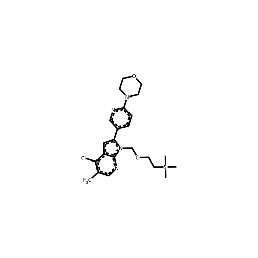 C[Si](C)(C)CCOCn1c(-c2ccc(N3CCOCC3)nc2)cc2c(Cl)c(C(F)(F)F)cnc21